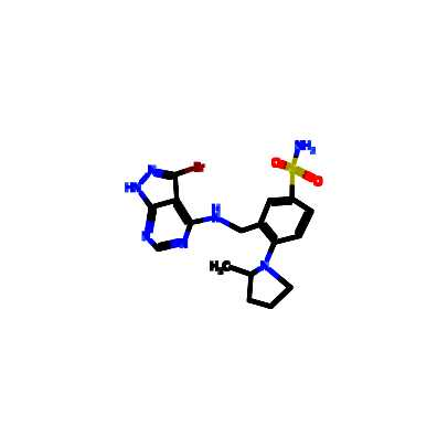 CC1CCCN1c1ccc(S(N)(=O)=O)cc1CNc1ncnc2[nH]nc(Br)c12